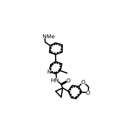 CNCc1cccc(-c2cnc(NC(=O)C3(c4ccc5c(c4)OCO5)CC3)c(C)c2)c1